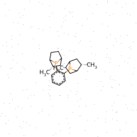 C[C@H]1CC2CCC1P2c1ccccc1P1C2C[C@H](C)C1C[C@@H]2C